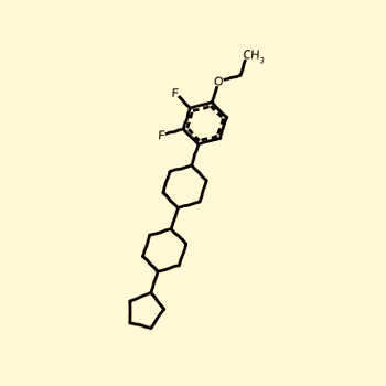 CCOc1ccc(C2CCC(C3CCC(C4CCCC4)CC3)CC2)c(F)c1F